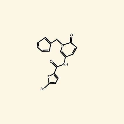 O=C(Nc1ccc(=O)n(Cc2ccccc2)c1)c1ccc(Br)s1